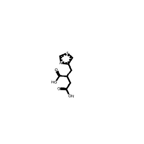 O=C(O)CC(Cc1cscn1)C(=O)O